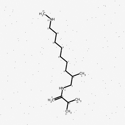 C=C(NCC(C)CCCCCCCNC)C(C)C